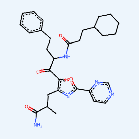 CC(Cc1nc(-c2ccncn2)oc1C(=O)C(CCc1ccccc1)NC(=O)[CH]CC1CCCCC1)C(N)=O